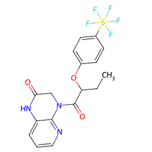 CCC(Oc1ccc(S(F)(F)(F)(F)F)cc1)C(=O)N1CC(=O)Nc2cccnc21